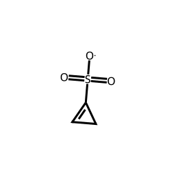 [O]S(=O)(=O)C1=CC1